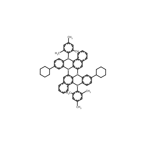 Cc1cc(C)c(B2c3ccc(C4CCCCC4)cc3N3c4cc5ccccc5c5c4N(c4cc(C6CCCCC6)ccc4B5c4c(C)cc(C)cc4C)c4cc5ccccc5c2c43)c(C)c1